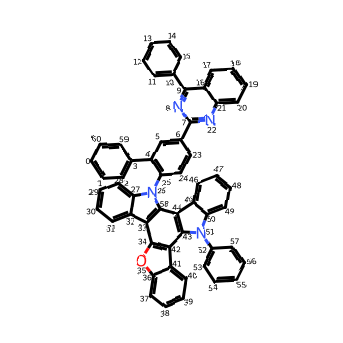 c1ccc(-c2cc(-c3nc(-c4ccccc4)c4ccccc4n3)ccc2-n2c3ccccc3c3c4oc5ccccc5c4c4c(c5ccccc5n4-c4ccccc4)c32)cc1